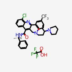 C[C@H](NC(=O)c1c(CN2CCC(N3CCCCC3)CC2)c(-c2cccc(C(F)(F)F)c2)nc2c(Cl)cccc12)c1ccccc1.O=C(O)C(F)(F)F